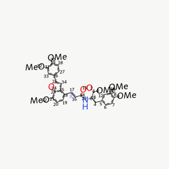 COC(=O)[C@@H](Cc1ccc(OC)c(OC)c1)NC(=O)/C=C/c1ccc(OC)c2oc(-c3ccc(OC)c(OC)c3)cc12